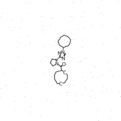 O=C(C1CCCCCCCCC1)N1CCC[C@H]1c1ncn(C2CCCCCCCC2)n1